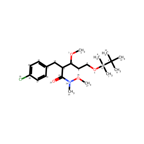 COC(CCO[Si](C)(C)C(C)(C)C)C(Cc1ccc(Cl)cc1)C(=O)N(C)OC